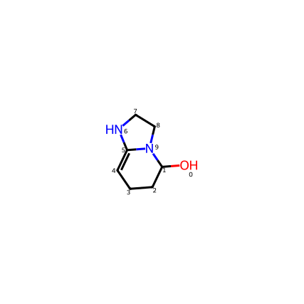 OC1CCC=C2NCCN21